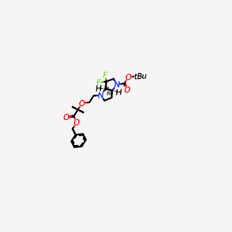 CC(C)(C)OC(=O)N1CC(F)(F)[C@H]2[C@@H]1CCN2CCOC(C)(C)C(=O)OCc1ccccc1